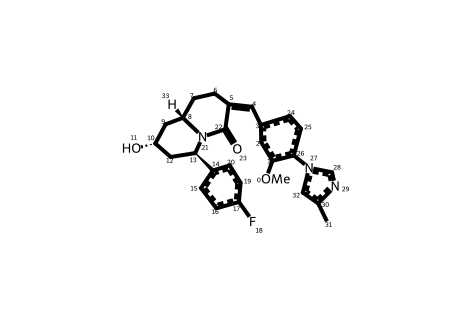 COc1cc(C=C2CC[C@H]3C[C@@H](O)C[C@H](c4ccc(F)cc4)N3C2=O)ccc1-n1cnc(C)c1